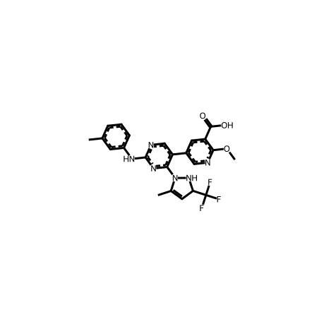 COc1ncc(-c2cnc(Nc3cccc(C)c3)nc2N2NC(C(F)(F)F)C=C2C)cc1C(=O)O